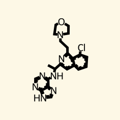 CC(Nc1ncnc2[nH]cnc12)c1cc2cccc(Cl)c2c(CCN2CCOCC2)n1